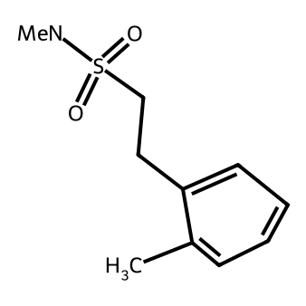 CNS(=O)(=O)CCc1ccccc1C